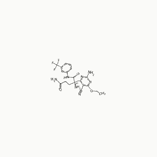 CCOc1nc(N)nc([C@](N)(CCC(N)=O)C(=O)Nc2cccc(C(F)(F)F)c2)c1C#N